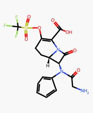 NCC(=O)N(c1ccccc1)[C@@H]1C(=O)N2C(C(=O)O)=C(OS(=O)(=O)C(F)(F)F)CC[C@@H]12